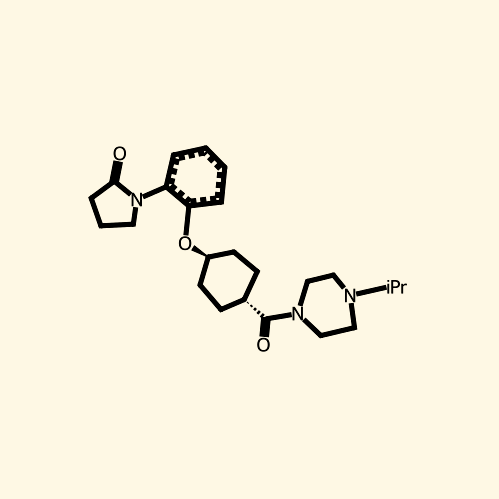 CC(C)N1CCN(C(=O)[C@H]2CC[C@H](Oc3ccccc3N3CCCC3=O)CC2)CC1